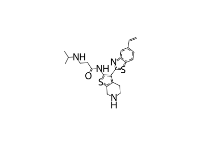 C=Cc1ccc2sc(-c3c(NC(=O)CCNC(C)C)sc4c3CCNC4)nc2c1